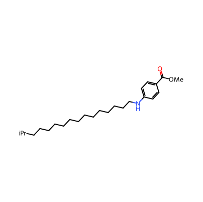 COC(=O)c1ccc(NCCCCCCCCCCCCCCC(C)C)cc1